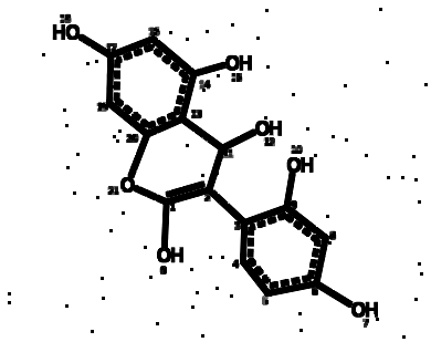 OC1=C(c2ccc(O)cc2O)C(O)c2c(O)cc(O)cc2O1